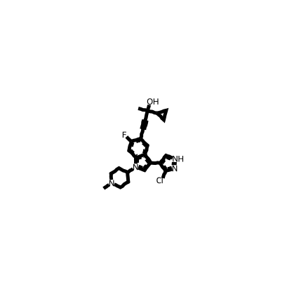 CN1CCC(n2cc(-c3c[nH]nc3Cl)c3cc(C#CC(C)(O)C4CC4)c(F)cc32)CC1